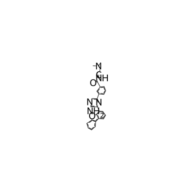 CN(C)CCNC(=O)c1cccc(-c2cnc(N)c(-c3cccc4c3oc3ccccc34)n2)c1